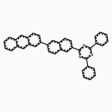 c1ccc(-c2nc(-c3ccccc3)nc(-c3ccc4cc(-c5ccc6cc7ccccc7cc6c5)ccc4c3)n2)cc1